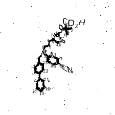 CC(C)(Sc1nc(CCCN(Cc2ccc(-c3ccccc3)cc2)c2ccc(C#N)cn2)cs1)C(=O)O